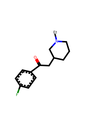 CCN1CCCC(CC(=O)c2ccc(F)cc2)C1